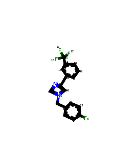 Fc1ccc(Cn2cnc(-c3cccc(C(F)(F)F)c3)c2)cc1